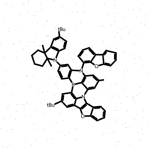 Cc1cc2c3c(c1)-n1c4c(cc(C(C)(C)C)cc4c4oc5ccccc5c41)B3c1ccc(N3c4ccc(C(C)(C)C)cc4C4(C)CCCCC34C)cc1N2c1cccc2c1oc1ccccc12